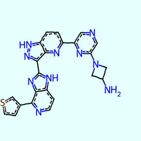 NC1CN(c2cncc(-c3ccc4[nH]nc(-c5nc6c(-c7ccsc7)nccc6[nH]5)c4n3)n2)C1